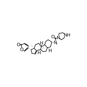 CN(C(=O)N1CCNCC1)[C@H]1CC[C@@]2(C)[C@H](CC[C@H]3C4=CC[C@H](c5ccc(=O)oc5)[C@@]4(C)CC[C@@H]32)C1